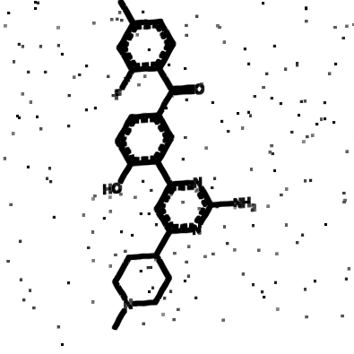 Cc1ccc(C(=O)c2ccc(O)c(-c3cc(C4CCN(C)CC4)nc(N)n3)c2)c(F)c1